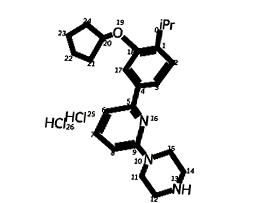 CC(C)c1ccc(-c2cccc(N3CCNCC3)n2)cc1OC1CCCC1.Cl.Cl